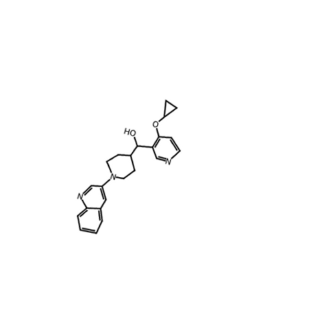 OC(c1cnccc1OC1CC1)C1CCN(c2cnc3ccccc3c2)CC1